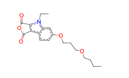 CCCCOCCCOc1ccc2c3c(n(CC)c2c1)C(=O)OC3=O